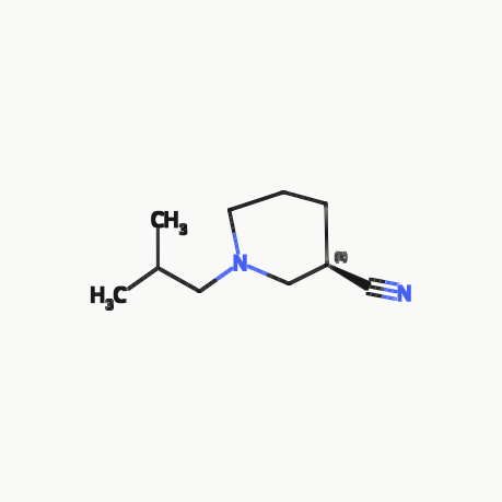 CC(C)CN1CCC[C@@H](C#N)C1